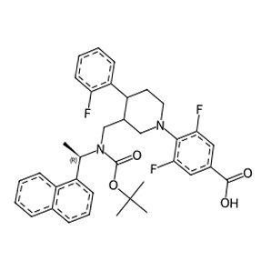 C[C@H](c1cccc2ccccc12)N(CC1CN(c2c(F)cc(C(=O)O)cc2F)CCC1c1ccccc1F)C(=O)OC(C)(C)C